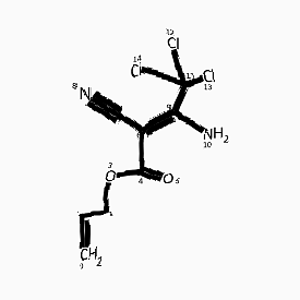 C=CCOC(=O)C(C#N)=C(N)C(Cl)(Cl)Cl